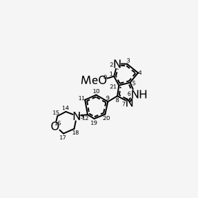 COc1nccc2[nH]nc(-c3ccc(N4CCOCC4)cc3)c12